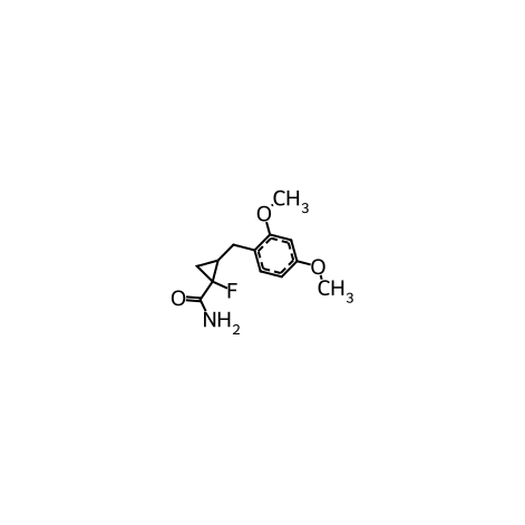 COc1ccc(CC2CC2(F)C(N)=O)c(OC)c1